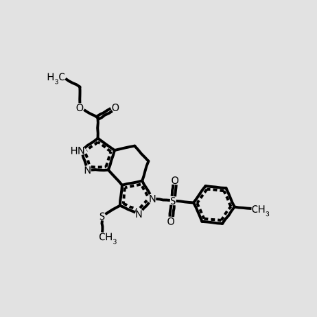 CCOC(=O)c1[nH]nc2c1CCc1c-2c(SC)nn1S(=O)(=O)c1ccc(C)cc1